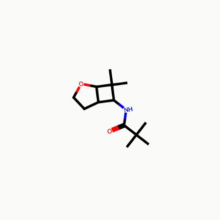 CC(C)(C)C(=O)NC1C2CCOC2C1(C)C